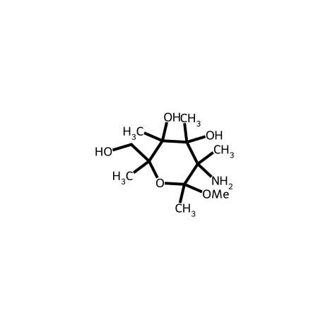 COC1(C)OC(C)(CO)C(C)(O)C(C)(O)C1(C)N